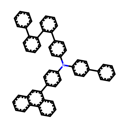 c1ccc(-c2ccc(N(c3ccc(-c4ccccc4-c4ccccc4-c4ccccc4)cc3)c3ccc(-c4cc5ccccc5c5ccccc45)cc3)cc2)cc1